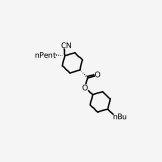 CCCCC[C@]1(C#N)CC[C@H](C(=O)OC2CCC(CCCC)CC2)CC1